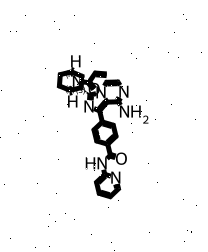 C=CC(=O)N1[C@@H]2CC[C@H]1[C@@H](c1nc(-c3ccc(C(=O)Nc4ccccn4)cc3)c3c(N)nccn13)C2